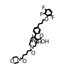 O=C(O)C1=C(c2ccc(CCCOc3c(F)ccc(F)c3F)cc2)CC2CN(C(=O)CCCC(=O)N3CCOCC3)C[C@H]1N2